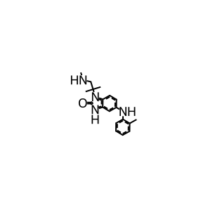 CNCC(C)(C)n1c(=O)[nH]c2cc(Nc3ccccc3C)ccc21